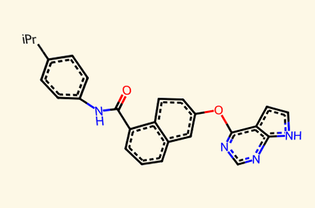 CC(C)c1ccc(NC(=O)c2cccc3cc(Oc4ncnc5[nH]ccc45)ccc23)cc1